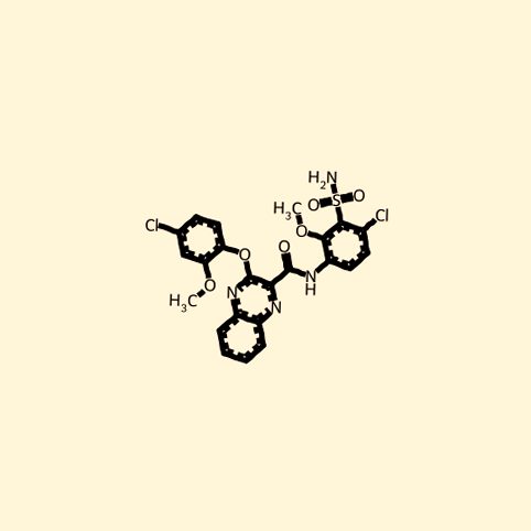 COc1cc(Cl)ccc1Oc1nc2ccccc2nc1C(=O)Nc1ccc(Cl)c(S(N)(=O)=O)c1OC